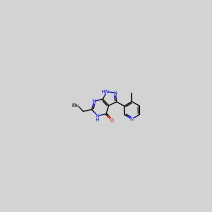 CCC(C)Cc1nc2[nH]nc(-c3cnccc3C)c2c(=O)[nH]1